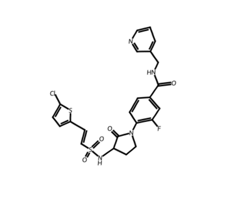 O=C(NCc1cccnc1)c1ccc(N2CCC(NS(=O)(=O)C=Cc3ccc(Cl)s3)C2=O)c(F)c1